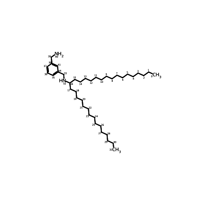 CCCCCCCCCCCCCCCCC(CCCCCCCCCCCCCCC)NCc1cccc(CN)c1